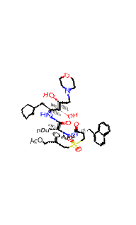 CCCC[C@H](NC(=O)[C@H](Cc1cccc2ccccc12)CS(=O)(=O)CC(COC(C)=O)OC)C(=O)N[C@@H](CC1CCCCC1)[C@@H](O)[C@@H](O)CN1CCOCC1